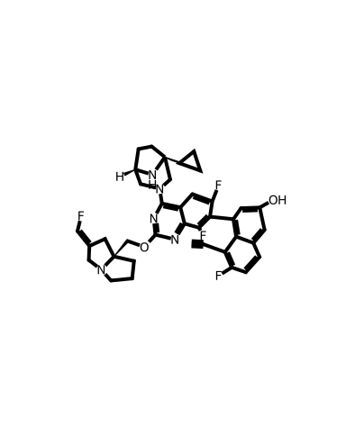 C#Cc1c(F)ccc2cc(O)cc(-c3c(F)cc4c(N5C[C@@H]6CC[C@](C7CC7)(C5)N6)nc(OC[C@@]56CCCN5C/C(=C/F)C6)nc4c3F)c12